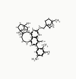 CC12CCC(COc3nc4c5c(nc(-c6cc(N)cc(Cl)c6C(F)(F)F)c(F)c5n3)OCC[C@@H]3[C@@H]5CC[C@H](CN43)N5)(CO1)C2